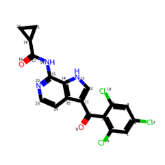 O=C(c1c(Cl)cc(Cl)cc1Cl)c1c[nH]c2c(NC(=O)C3CC3)nccc12